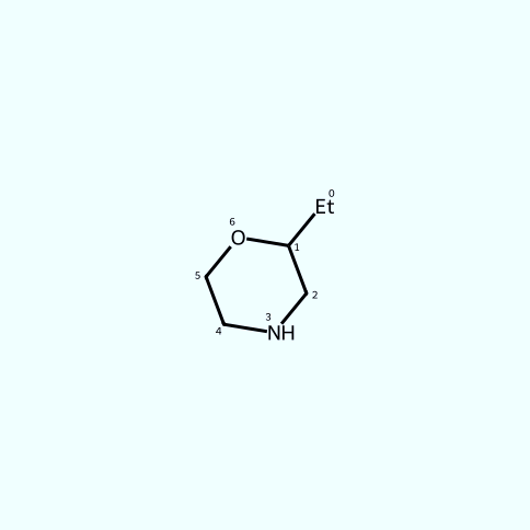 [CH2]CC1CNCCO1